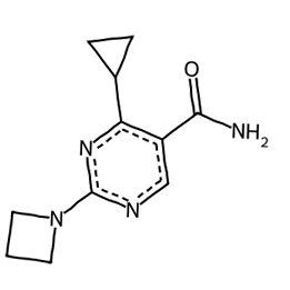 NC(=O)c1cnc(N2CCC2)nc1C1CC1